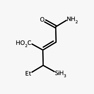 CCC([SiH3])/C(=C/C(N)=O)C(=O)O